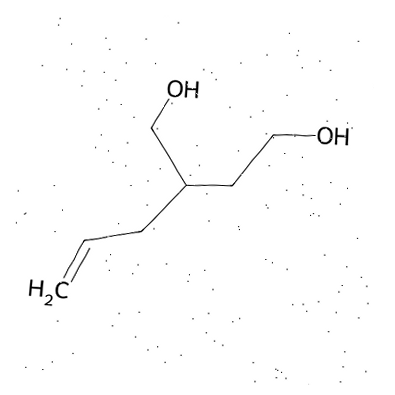 C=CCC(CO)CCO